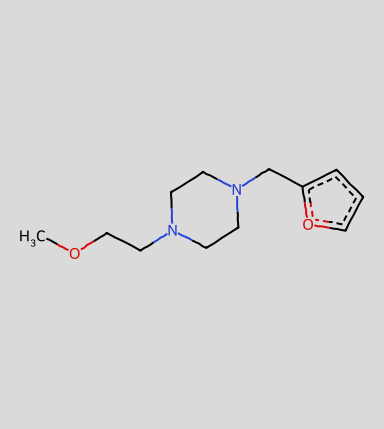 COCCN1CCN(Cc2ccco2)CC1